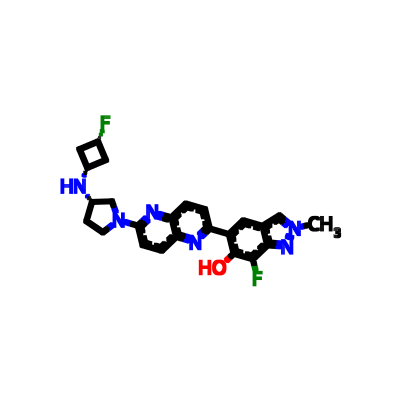 Cn1cc2cc(-c3ccc4nc(N5CC[C@H](N[C@H]6C[C@@H](F)C6)C5)ccc4n3)c(O)c(F)c2n1